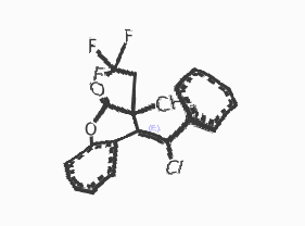 CC1(CC(F)(F)F)C(=O)Oc2ccccc2/C1=C(\Cl)c1ccccc1